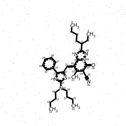 CCCCC(CC)c1nc2/c(=C/c3sc(N(CCCC)CCCC)nc3-c3ccccc3)c(C)c(C#N)c(=O)n2n1